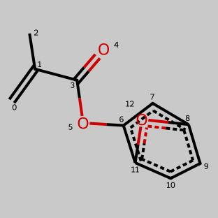 C=C(C)C(=O)Oc1cc2ccc1o2